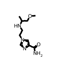 COCC(C)NCCn1cnc(C(N)=O)c1